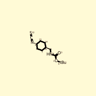 CC(C)(C)OC(=O)NC[C@H]1CC[C@H](N=C=S)CC1